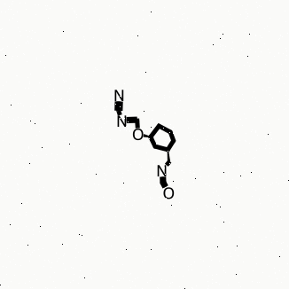 N#C/N=C/O[C@H]1CCC[C@@H](CN=C=O)C1